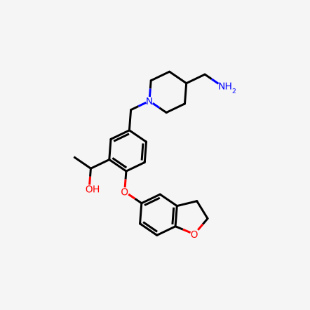 CC(O)c1cc(CN2CCC(CN)CC2)ccc1Oc1ccc2c(c1)CCO2